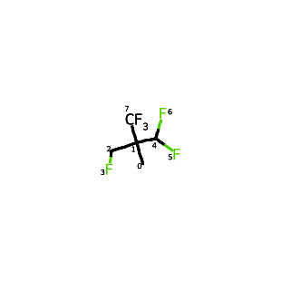 CC(CF)([C](F)F)C(F)(F)F